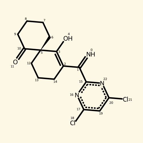 N=C(C1=C(O)[C@]2(CCCCC2=O)CCC1)c1nc(Cl)cc(Cl)n1